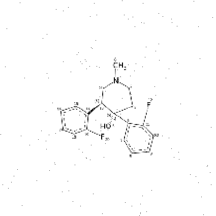 CN1CC[C@@](O)(c2ccccc2F)[C@@H](c2ccccc2F)C1